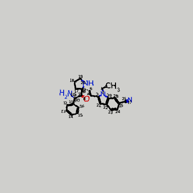 CCn1c(CC[C@]2(C(=O)[C@H](N)c3ccccc3)CCCN2)cc2ccc(C#N)cc21